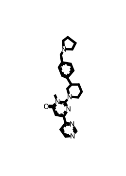 Cn1c(N2CCCC(c3ccc(CN4CCCC4)cc3)C2)nc(-c2ccncn2)cc1=O